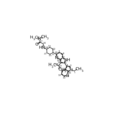 CCn1cc(-c2[nH]c3ccc(C4CCC(NCC(=O)N(C)C)CC4)nc3c2C(C)C)c2cccnc21